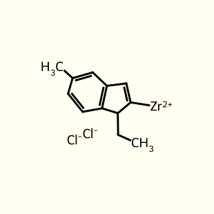 CCC1[C]([Zr+2])=Cc2cc(C)ccc21.[Cl-].[Cl-]